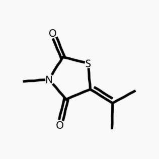 CC(C)=C1SC(=O)N(C)C1=O